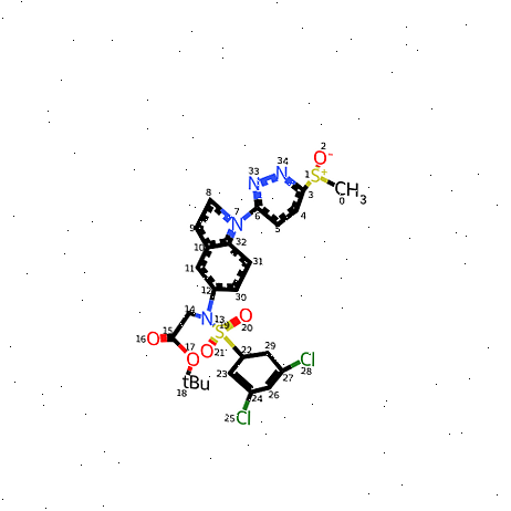 C[S+]([O-])c1ccc(-n2ccc3cc(N(CC(=O)OC(C)(C)C)S(=O)(=O)C4C=C(Cl)C=C(Cl)C4)ccc32)nn1